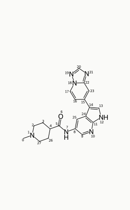 CN1CCC(C(=O)Nc2cnc3[nH]cc(-c4ccn5ncnc5c4)c3c2)CC1